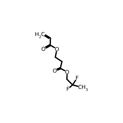 C=CC(=O)OCCC(=O)OCC(C)(F)F